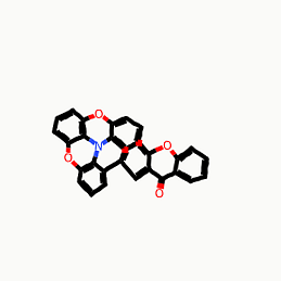 O=c1c2ccccc2oc2ccc(-c3cccc4c3N3c5ccccc5Oc5cccc(c53)O4)cc12